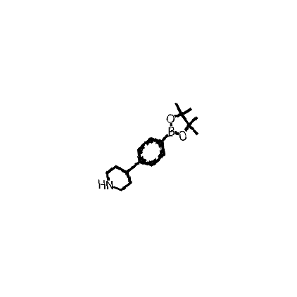 CC1(C)OB(c2ccc(C3CCNCC3)cc2)OC1(C)C